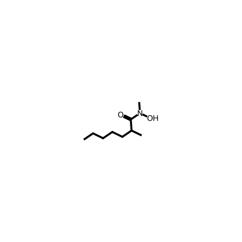 CCCCCC(C)C(=O)N(C)O